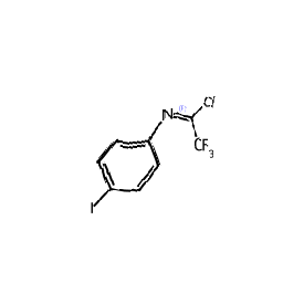 FC(F)(F)/C(Cl)=N\c1ccc(I)cc1